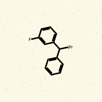 [CH2]C(C)C(c1ccccc1)c1cccc(F)c1